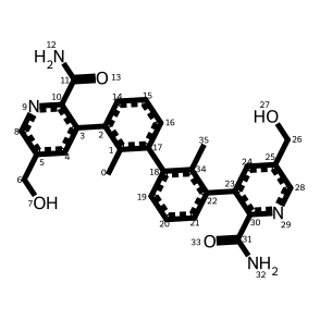 Cc1c(-c2cc(CO)cnc2C(N)=O)cccc1-c1cccc(-c2cc(CO)cnc2C(N)=O)c1C